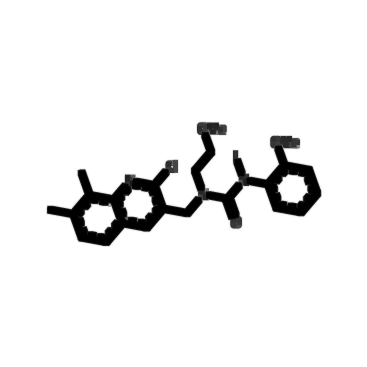 COCCN(Cc1cc2ccc(C)c(C)c2nc1Cl)C(=O)N(I)c1ccccc1OC